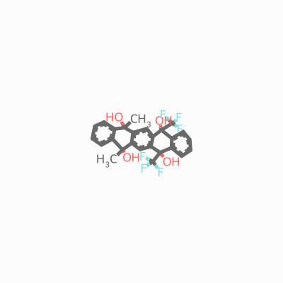 CC1(O)c2ccccc2C(C)(O)c2cc3c(cc21)C(O)(C(F)(F)F)c1ccccc1C3(O)C(F)(F)F